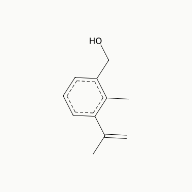 C=C(C)c1cccc(CO)c1C